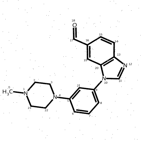 CN1CCN(c2cccc(-n3cnc4ccc(C=O)cc43)c2)CC1